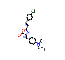 CN(C)c1ccc(/C=C2N=C(/C=C/c3ccc(Cl)cc3)OC\2=O)cc1